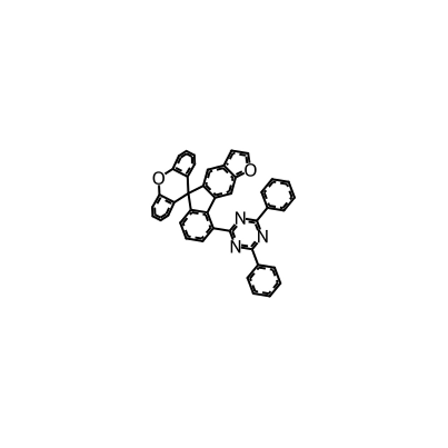 c1ccc(-c2nc(-c3ccccc3)nc(-c3cccc4c3-c3cc5occc5cc3C43c4ccccc4Oc4ccccc43)n2)cc1